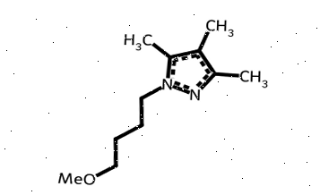 COCCCCn1nc(C)c(C)c1C